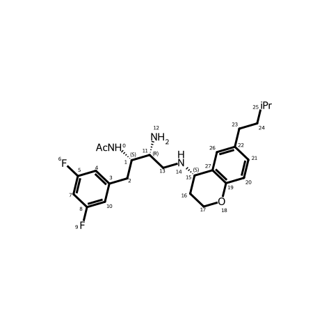 CC(=O)N[C@@H](Cc1cc(F)cc(F)c1)[C@H](N)CN[C@H]1CCOc2ccc(CCC(C)C)cc21